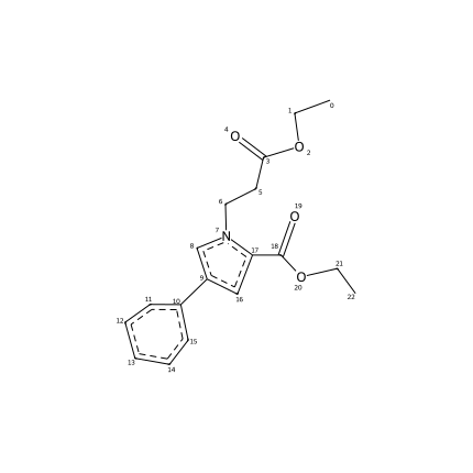 CCOC(=O)CCn1cc(-c2ccccc2)cc1C(=O)OCC